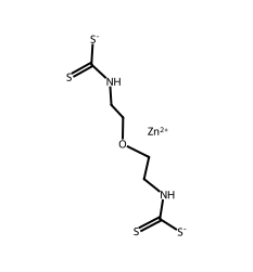 S=C([S-])NCCOCCNC(=S)[S-].[Zn+2]